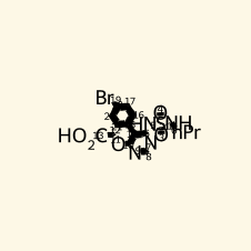 CCCNS(=O)(=O)Nc1ncnc(OCC(=O)O)c1-c1ccc(Br)cc1